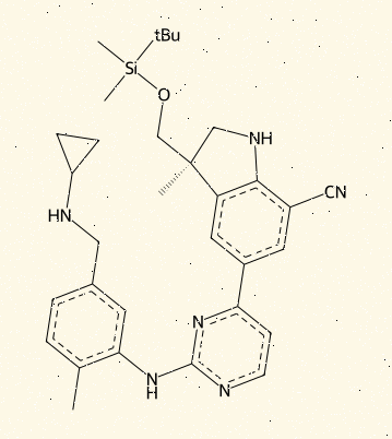 Cc1ccc(CNC2CC2)cc1Nc1nccc(-c2cc(C#N)c3c(c2)[C@@](C)(CO[Si](C)(C)C(C)(C)C)CN3)n1